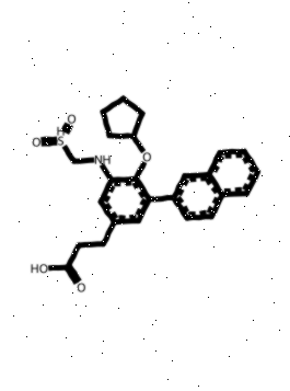 O=C(O)CCc1cc(NC[SH](=O)=O)c(OC2CCCC2)c(-c2ccc3ccccc3c2)c1